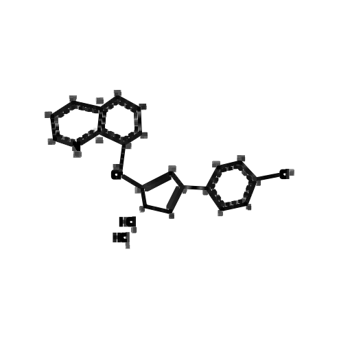 Cl.Cl.Clc1ccc(C2=CC[C]([Cr][c]3cccc4cccnc34)=C2)cc1